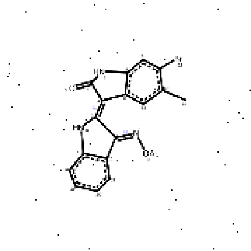 CC(=O)O/N=C1/C(=C2/C(=O)Nc3cc(Br)c(C)cc32)Nc2ccccc21